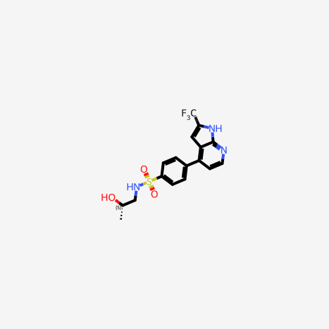 C[C@H](O)CNS(=O)(=O)c1ccc(-c2ccnc3[nH]c(C(F)(F)F)cc23)cc1